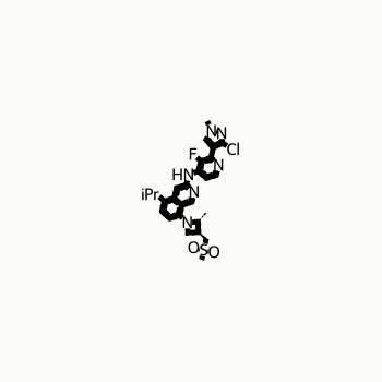 CC(C)c1ccc(N2C[C@H](CS(C)(=O)=O)[C@H]2C)c2cnc(Nc3ccnc(-c4cn(C)nc4Cl)c3F)cc12